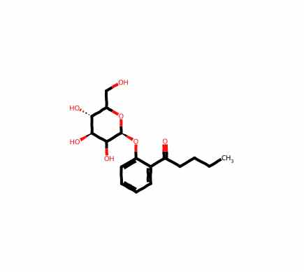 CCCCC(=O)c1ccccc1O[C@@H]1OC(CO)[C@@H](O)[C@H](O)C1O